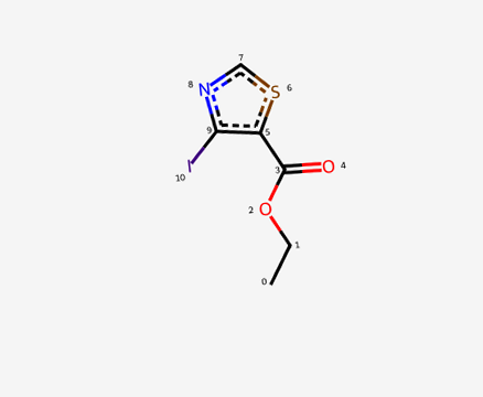 CCOC(=O)c1scnc1I